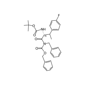 CC(c1ccc(F)cc1)[C@@H](NC(=O)OC(C)(C)C)C(=O)N(Cc1ccccc1)C(=O)OCc1ccccc1